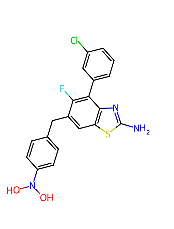 Nc1nc2c(-c3cccc(Cl)c3)c(F)c(Cc3ccc(N(O)O)cc3)cc2s1